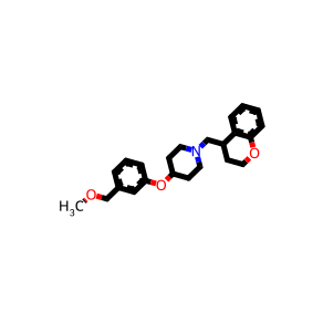 COCc1cccc(OC2CCN(CC3CCOc4ccccc43)CC2)c1